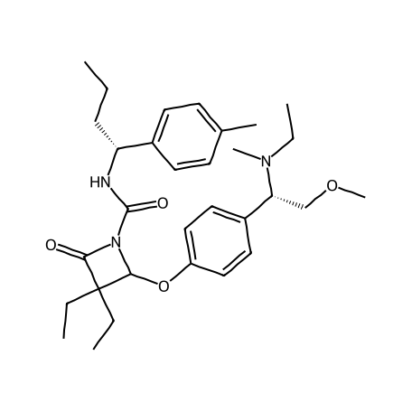 CCC[C@@H](NC(=O)N1C(=O)C(CC)(CC)C1Oc1ccc([C@@H](COC)N(C)CC)cc1)c1ccc(C)cc1